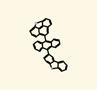 c1cc2cc(-c3c4ccccc4c(-c4ccc5sc6ccccc6c5c4)c4ccccc34)c3cccc4oc(c1)c2c43